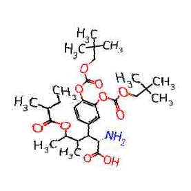 CCC(C)C(=O)OC(C)C(C)C(c1ccc(OC(=O)OCC(C)(C)C)c(OC(=O)OCC(C)(C)C)c1)[C@H](N)C(=O)O